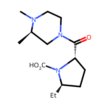 CC[C@@H]1CC[C@@H](C(=O)N2CCN(C)[C@H](C)C2)N1C(=O)O